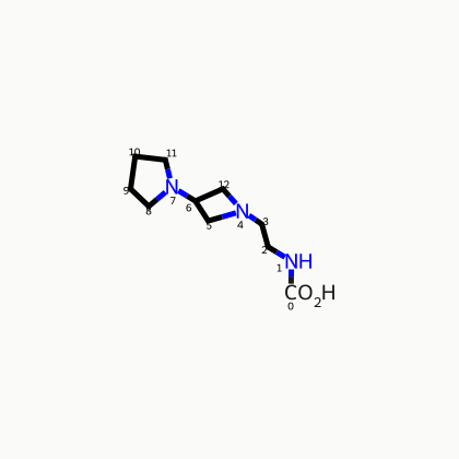 O=C(O)NCCN1CC(N2CCCC2)C1